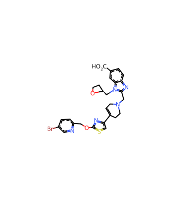 O=C(O)c1ccc2nc(CN3CC=C(c4csc(OCc5ccc(Br)cn5)n4)CC3)n(C[C@@H]3CCO3)c2c1